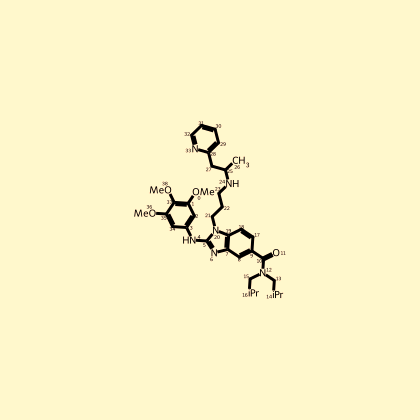 COc1cc(Nc2nc3cc(C(=O)N(CC(C)C)CC(C)C)ccc3n2CCCNC(C)Cc2ccccn2)cc(OC)c1OC